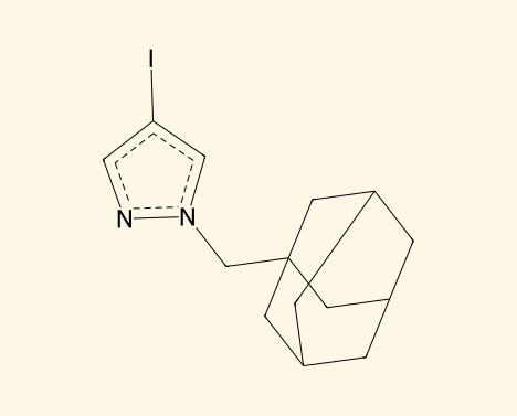 Ic1cnn(CC23CC4CC(CC(C4)C2)C3)c1